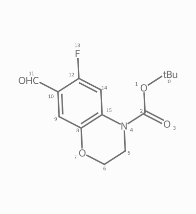 CC(C)(C)OC(=O)N1CCOc2cc(C=O)c(F)cc21